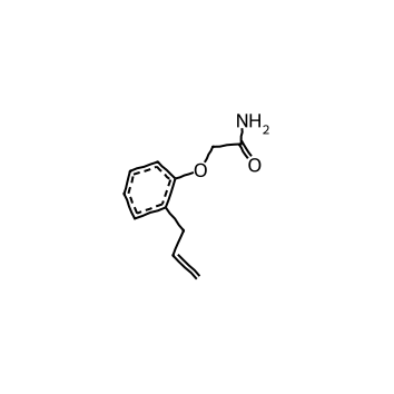 C=CCc1ccccc1OCC(N)=O